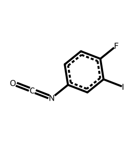 O=C=Nc1ccc(F)c(I)c1